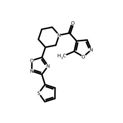 Cc1oncc1C(=O)N1CCCC(c2nc(-c3cccs3)no2)C1